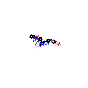 Cc1c(NC(=O)N2Cc3ccccc3C2)cccc1-c1nc(N)nc2[nH]c(-c3ccc(CN4CCC(C)(O)CC4)cc3)cc12